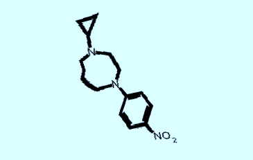 O=[N+]([O-])c1ccc(N2CCCN(C3CC3)CC2)cc1